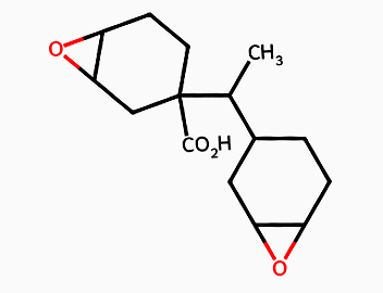 CC(C1CCC2OC2C1)C1(C(=O)O)CCC2OC2C1